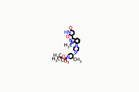 C[C@@H]1CN(C(=O)OC(C)(C)C)CC[C@@H]1CN1CCN(c2cccc3c(C4CCC(=O)NC4=O)nn(C)c23)CC1